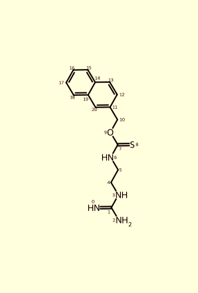 N=C(N)NCCNC(=S)OCc1ccc2ccccc2c1